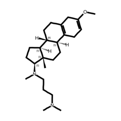 COC1=CCC2=C(CC[C@@H]3[C@@H]2CC[C@]2(C)[C@@H](N(C)CCCN(C)C)CC[C@@H]32)C1